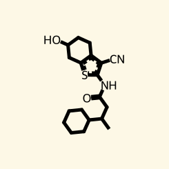 CC(CC(=O)Nc1sc2c(c1C#N)CCC(O)C2)C1CCCCC1